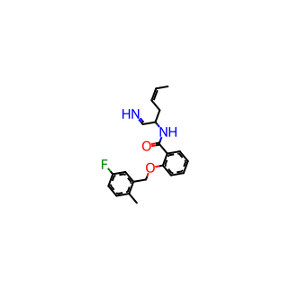 C/C=C\CC(C=N)NC(=O)c1ccccc1OCc1cc(F)ccc1C